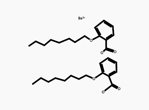 CCCCCCCCOc1ccccc1C(=O)[O-].CCCCCCCCOc1ccccc1C(=O)[O-].[Ba+2]